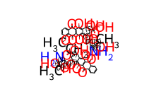 CC(=O)[C@]1(O)Cc2c(O)c3c(c(O)c2[C@@H](O[C@H]2C[C@H](N)[C@H](O)[C@H](C)O2)C1)C(=O)c1ccccc1C3=O.COc1cccc2c1C(=O)c1c(O)c3c(c(O)c1C2=O)C[C@@](O)(C(=O)CO)C[C@@H]3O[C@H]1C[C@H](N)[C@H](O)[C@H](C)O1